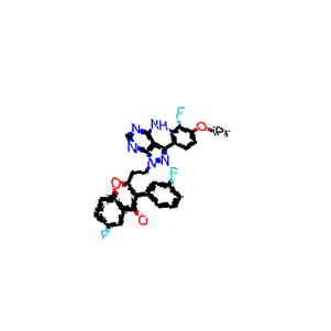 CC(C)Oc1ccc(-c2nn(CCc3oc4ccc(F)cc4c(=O)c3-c3cccc(F)c3)c3ncnc(N)c23)cc1F